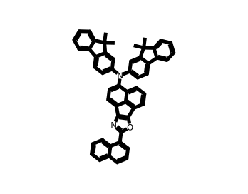 CC1(C)c2ccccc2-c2ccc(N(c3ccc4c(c3)C(C)(C)c3ccccc3-4)c3ccc4c5c(cccc35)-c3oc(-c5cccc6ccccc56)nc3-4)cc21